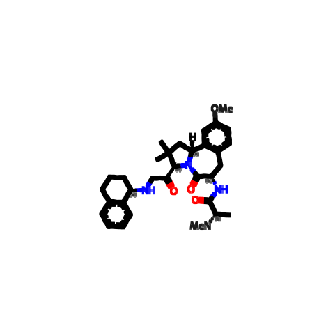 CN[C@@H](C)C(=O)N[C@H]1Cc2ccc(OC)cc2[C@H]2CC(C)(C)[C@H](C(=O)CN[C@@H]3CCCc4ccccc43)N2C1=O